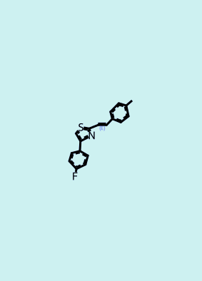 Cc1ccc(/C=C/c2nc(-c3ccc(F)cc3)cs2)cc1